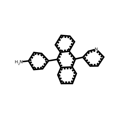 Nc1ccc(-c2c3ccccc3c(-c3cccnc3)c3ccccc23)cc1